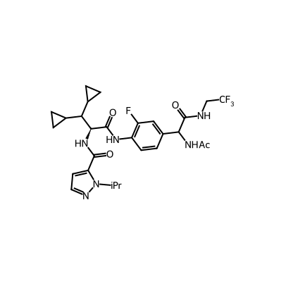 CC(=O)NC(C(=O)NCC(F)(F)F)c1ccc(NC(=O)[C@@H](NC(=O)c2ccnn2C(C)C)C(C2CC2)C2CC2)c(F)c1